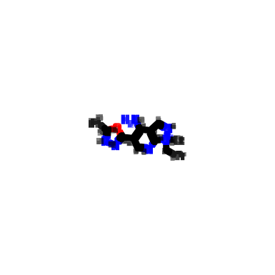 CC[N+]1(CC(C)C)N=Cc2c1ncc(-c1nnc(C(C)C)o1)c2N